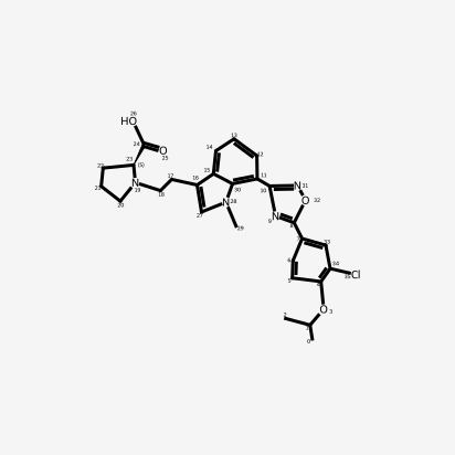 CC(C)Oc1ccc(-c2nc(-c3cccc4c(CCN5CCC[C@H]5C(=O)O)cn(C)c34)no2)cc1Cl